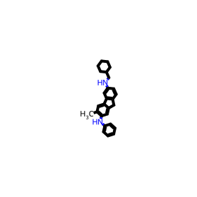 Cc1cc2c(cc1Nc1ccccc1)Cc1ccc(NCC3CCCCC3)cc1-2